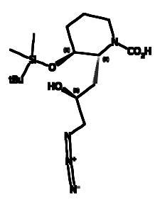 CC(C)(C)[Si](C)(C)O[C@H]1CCCN(C(=O)O)[C@@H]1C[C@H](O)CN=[N+]=[N-]